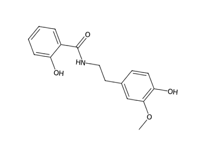 COc1cc(CCNC(=O)c2ccccc2O)ccc1O